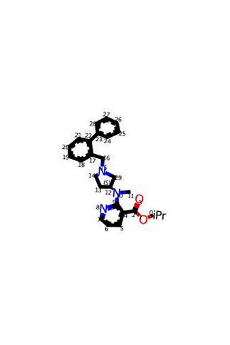 CC(C)OC(=O)c1cccnc1N(C)[C@H]1CCN(Cc2ccccc2-c2ccccc2)C1